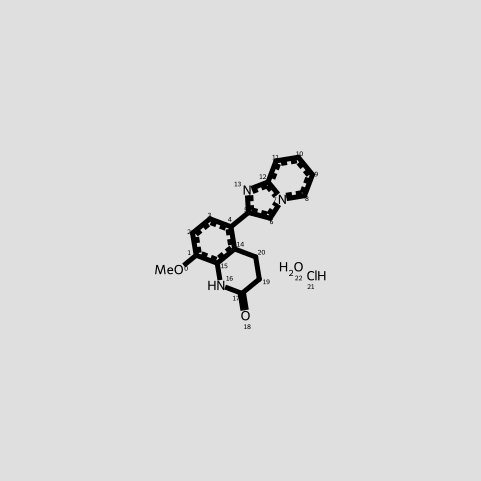 COc1ccc(-c2cn3ccccc3n2)c2c1NC(=O)CC2.Cl.O